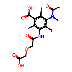 CC(=O)N(C)c1c(I)c(NC(=O)COCC(=O)O)c(I)c(C(=O)O)c1I